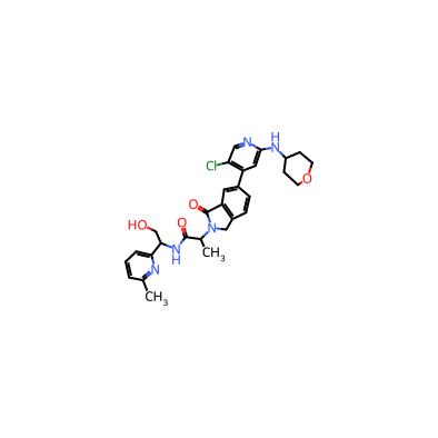 Cc1cccc(C(CO)NC(=O)C(C)N2Cc3ccc(-c4cc(NC5CCOCC5)ncc4Cl)cc3C2=O)n1